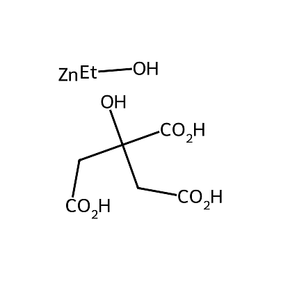 CCO.O=C(O)CC(O)(CC(=O)O)C(=O)O.[Zn]